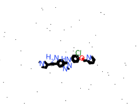 CN1CCC(C#Cc2cc3ncnc(Nc4ccc(OCc5ccccn5)c(Cl)c4)c3cc2N)C1